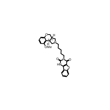 COc1cccc2c1[C@@H]1CN(CCCCCn3c(=O)[nH]c4c(sc5ccccc54)c3=O)C[C@H]1CO2